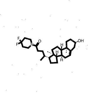 CC(CCC(=O)N1CCC(F)(F)CC1)[C@H]1CC[C@H]2[C@@H]3CC=C4C[C@@H](O)CC[C@]4(C)[C@H]3CC[C@]12C